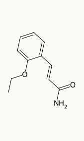 CCOc1ccccc1C=CC(N)=O